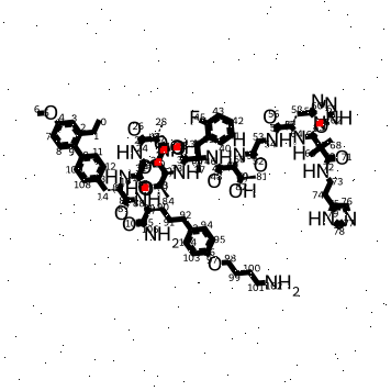 CCc1cc(OC)ccc1-c1ccc(C[C@H](NC(=O)[C@H](CC(=O)O)NC(=O)[C@H](C)NC(=O)[C@@H](NC(=O)[C@](C)(Cc2ccccc2F)NC(=O)[C@@H](NC(=O)CNC(=O)[C@H](Cc2nn[nH]n2)NC(=O)C(C)(C)C(=O)NCCc2cnc[nH]2)[C@@H](C)O)[C@@H](C)O)C(=O)N[C@@H](CCCc2ccc(OCCCCN)cc2)C(N)=O)cc1